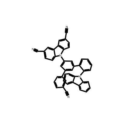 N#Cc1cccc(-c2cc(-c3ccccc3-n3c4ccccc4c4ccccc43)cc(-n3c4ccc(C#N)cc4c4cc(C#N)ccc43)c2)c1